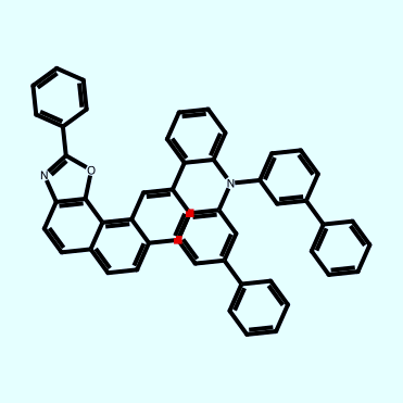 c1ccc(-c2cccc(N(c3cccc(-c4ccccc4)c3)c3ccccc3-c3ccc4ccc5ccc6nc(-c7ccccc7)oc6c5c4c3)c2)cc1